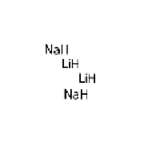 [LiH].[LiH].[NaH].[NaH]